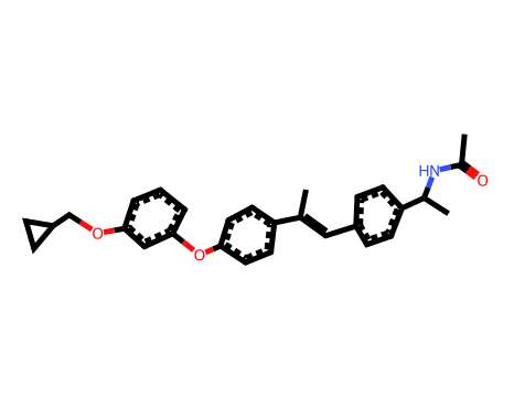 CC(=O)NC(C)c1ccc(/C=C(\C)c2ccc(Oc3cccc(OCC4CC4)c3)cc2)cc1